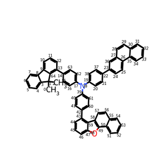 CC1(C)c2ccccc2-c2cccc(-c3ccc(N(c4ccc(-c5ccc6c(ccc7ccccc76)c5)cc4)c4ccc(-c5cccc6oc7c8ccccc8ccc7c56)cc4)cc3)c21